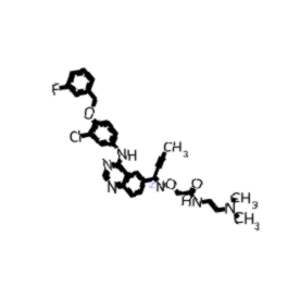 CC#C/C(=N\OCC(=O)NCCN(C)C)c1ccc2ncnc(Nc3ccc(OCc4cccc(F)c4)c(Cl)c3)c2c1